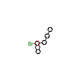 Brc1ccc(-c2cccc(-c3ccc(-c4ccccc4)cc3)c2)c2c1C1c3ccccc3C2c2ccccc21